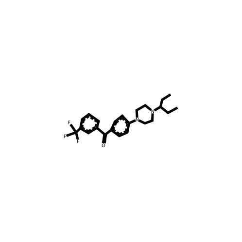 CCC(CC)N1CCN(c2ccc(C(=O)c3cccc(C(F)(F)F)c3)cc2)CC1